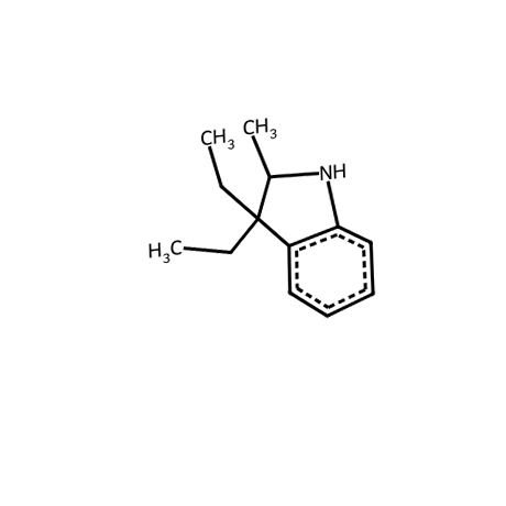 CCC1(CC)c2ccccc2NC1C